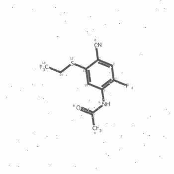 N#Cc1cc(F)c(NC(=O)C(F)(F)F)cc1SCC(F)(F)F